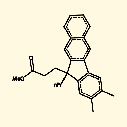 CCCC1(CCC(=O)OC)c2cc(C)c(C)cc2-c2cc3ccccc3cc21